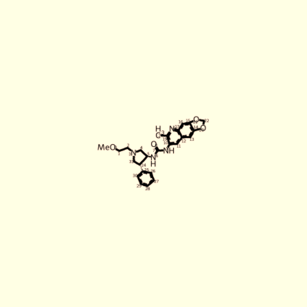 COCCN1C[C@@H](NC(=O)Nc2cc3cc4c(cc3nc2C)OCO4)[C@H](c2ccccc2)C1